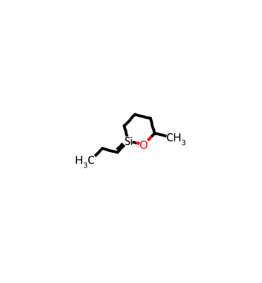 CCC=[Si]1CCCC(C)O1